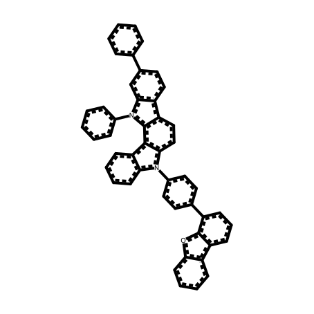 c1ccc(-c2ccc3c4ccc5c(c6ccccc6n5-c5ccc(-c6cccc7c6oc6ccccc67)cc5)c4n(-c4ccccc4)c3c2)cc1